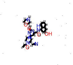 C=CC(=O)N1CCN(c2cc(C(=O)Nc3cc(O)cc4ccccc34)nc(OC[C@H]3CN(C)CCO3)n2)C[C@@H]1CC#N